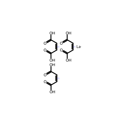 O=C(O)/C=C\C(=O)O.O=C(O)/C=C\C(=O)O.O=C(O)/C=C\C(=O)O.[La]